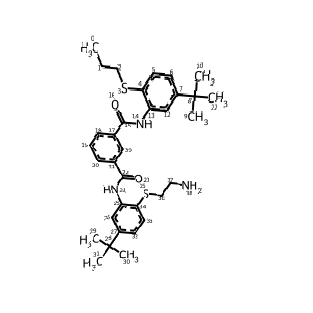 CCCSc1ccc(C(C)(C)C)cc1NC(=O)c1cccc(C(=O)Nc2cc(C(C)(C)C)ccc2SCCN)c1